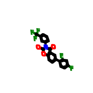 O=c1oc2ccc(-c3ccc(F)cc3F)cc2c(=O)n1-c1cccc(C(F)(F)F)c1